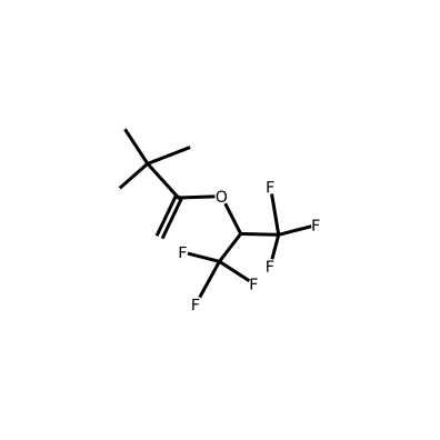 C=C(OC(C(F)(F)F)C(F)(F)F)C(C)(C)C